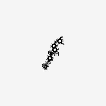 CC1CC(C)CN(Cc2ccc3c(c2)CC[C@H](NC(=O)c2ccc(OC[C@@H]4CCCO4)cc2)C3)C1